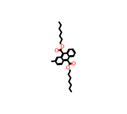 CCCCCCCOC(=O)c1c2ccccc2c(C(=O)OCCCCCCC)c2cc(C)ccc12